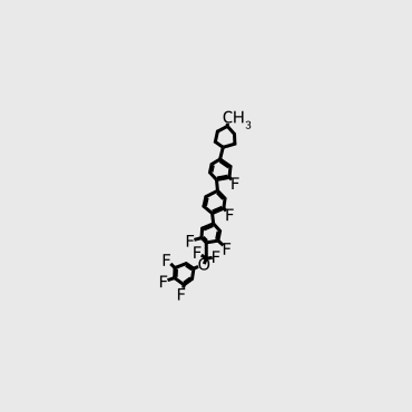 CC1CCC(c2ccc(-c3ccc(-c4cc(F)c(C(F)(F)Oc5cc(F)c(F)c(F)c5)c(F)c4)c(F)c3)c(F)c2)CC1